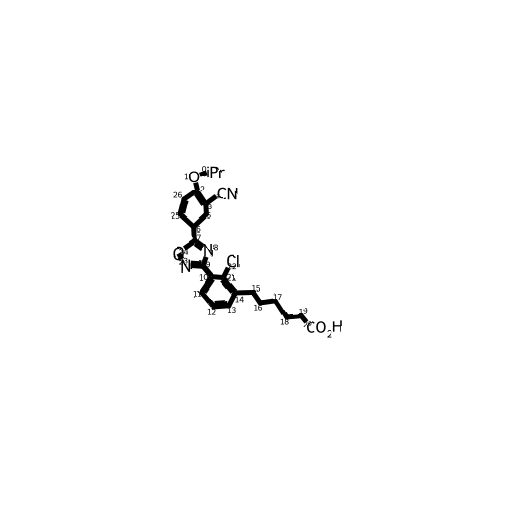 CC(C)OC1=C(C#N)CC(c2nc(-c3cccc(CCCCCC(=O)O)c3Cl)no2)C=C1